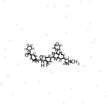 CN1CC(c2cnc3c(N4CCOCC4)nc(-c4ccc(NC(=O)Nc5ccc(C(=O)N6CCCC6)cc5)c(F)c4)nc3c2)C=N1